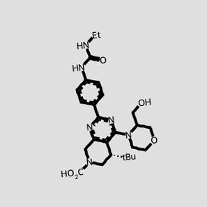 CCNC(=O)Nc1ccc(-c2nc3c(c(N4CCOCC4CO)n2)[C@H](C(C)(C)C)CN(C(=O)O)C3)cc1